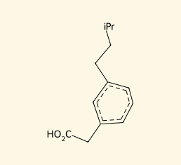 CC(C)CCc1cccc(CC(=O)O)c1